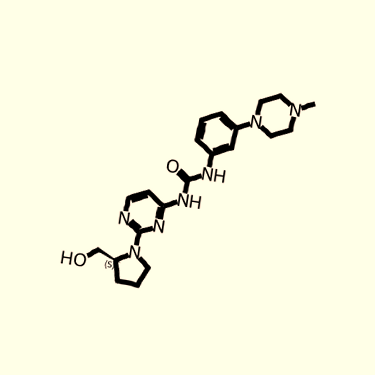 CN1CCN(c2cccc(NC(=O)Nc3ccnc(N4CCC[C@H]4CO)n3)c2)CC1